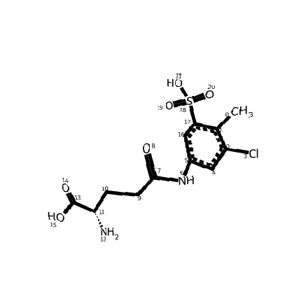 Cc1c(Cl)cc(NC(=O)CC[C@H](N)C(=O)O)cc1S(=O)(=O)O